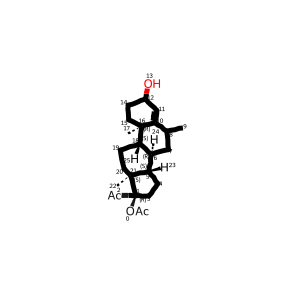 CC(=O)O[C@]1(C(C)=O)CC[C@H]2[C@@H]3CC(C)C4=CC(O)CC[C@]4(C)[C@H]3CC[C@@]21C